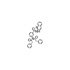 O=C(Nc1ccc2ccccc2n1)c1cccc(N(C(=O)Cc2ccccc2)C(=O)Cc2ccccc2)c1